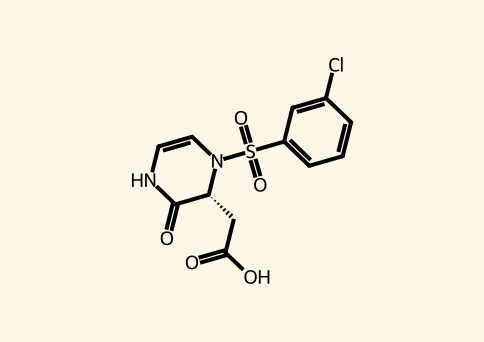 O=C(O)C[C@@H]1C(=O)NC=CN1S(=O)(=O)c1cccc(Cl)c1